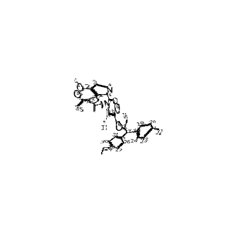 COc1ccnc(C(=O)N[C@@H](C)C(=O)O[C@@H](C)[C@@H](c2ccc(C)cc2)c2ccc(F)cc2)c1OC(C)=O